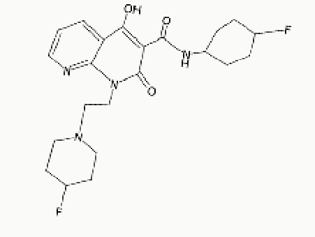 O=C(NC1CCC(F)CC1)c1c(O)c2cccnc2n(CCN2CCC(F)CC2)c1=O